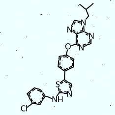 CC(C)Cn1cnc2c(Oc3ccc(-c4cnc(Nc5cccc(Cl)c5)s4)cc3)ncnc21